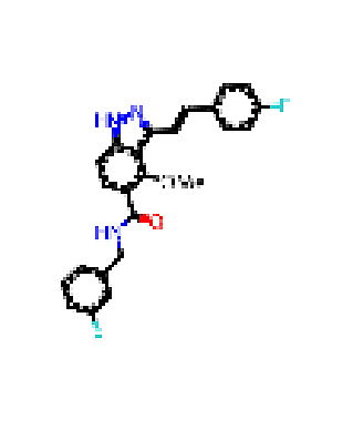 COc1c(C(=O)NCc2cccc(F)c2)ccc2[nH]nc(/C=C/c3ccc(F)cc3)c12